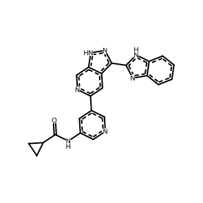 O=C(Nc1cncc(-c2cc3c(-c4nc5ccccc5[nH]4)n[nH]c3cn2)c1)C1CC1